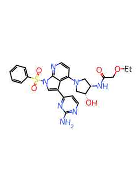 CCOCC(=O)N[C@@H]1CN(c2ccnc3c2c(-c2ccnc(N)n2)cn3S(=O)(=O)c2ccccc2)C[C@H]1O